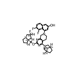 [2H]C([2H])(Oc1nc2c(c(N3C[C@H]4CC[C@@H](C3)N4)n1)CCN(c1cc(O)cc3ccc(F)c(F)c13)C2)[C@@]12CCCN1C[C@]([2H])(F)C2